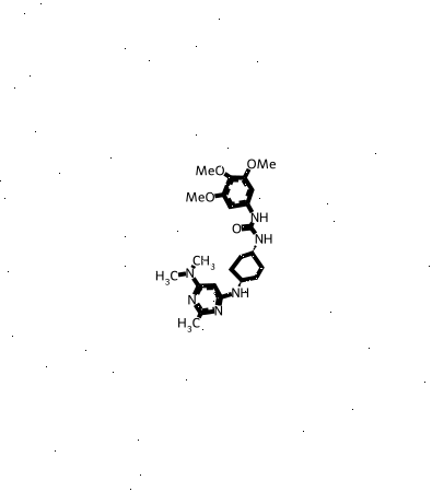 COc1cc(NC(=O)N[C@H]2CC[C@@H](Nc3cc(N(C)C)nc(C)n3)CC2)cc(OC)c1OC